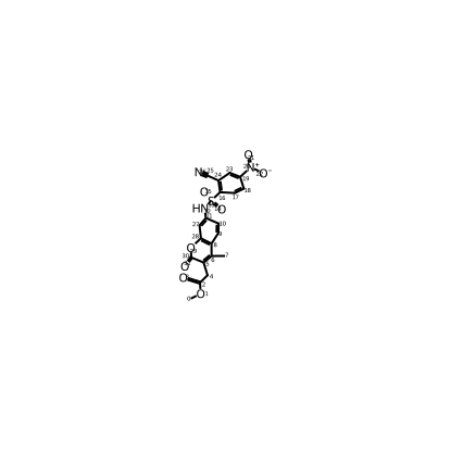 COC(=O)Cc1c(C)c2ccc(NS(=O)(=O)c3ccc([N+](=O)[O-])cc3C#N)cc2oc1=O